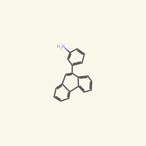 Nc1cccc(-c2cc3ccccc3c3ccccc23)c1